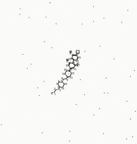 CCCCC1CCC(CCC2CCC(c3cc(F)c(-c4ccc(Cl)c(F)c4)c(F)c3)CC2)CC1